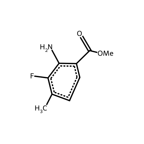 COC(=O)c1ccc(C)c(F)c1N